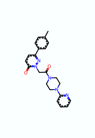 Cc1ccc(-c2ccc(=O)n(CC(=O)N3CCN(c4ccccn4)CC3)n2)cc1